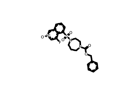 O=C(OCc1ccccc1)N1CCCN(S(=O)(=O)c2cccc3c[n+]([O-])cc(F)c23)CC1